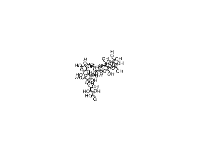 O=C[C@H](O)[C@@H](O)[C@H](O)[C@H](O)CO.OC[C@@H](O)[C@@H](O)[C@H](O)[C@@H](O)CO.OC[C@@H](O)[C@@H](O)[C@H](O)[C@H](O)CO.OC[C@H]1O[C@@H](O[C@H]2[C@H](O)[C@@H](O)[C@H](O)O[C@@H]2CO)[C@H](O)[C@@H](O)[C@H]1O.OC[C@H]1O[C@](O)(CO)[C@@H](O)[C@@H]1O